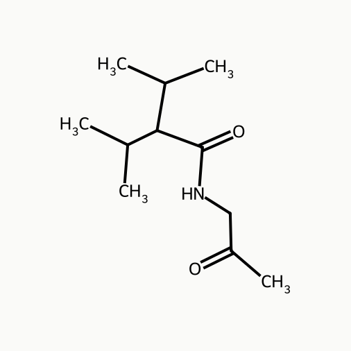 CC(=O)CNC(=O)C(C(C)C)C(C)C